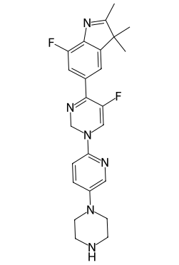 CC1=Nc2c(F)cc(C3=NCN(c4ccc(N5CCNCC5)cn4)C=C3F)cc2C1(C)C